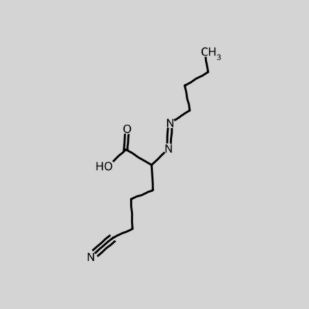 CCCCN=NC(CCCC#N)C(=O)O